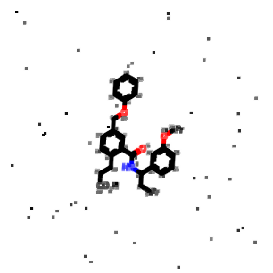 CC(C)CC(NC(=O)c1cc(COc2ccccc2)ccc1CCC(=O)O)c1cccc(OC(C)C)c1